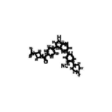 CN1CCN(c2ccc(-c3cnc4[nH]cc(-c5ccc(C(=O)N6CC(N(C)C)C6)cc5)c4n3)cc2C#N)CC1